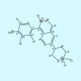 Cc1cc(-c2c3ccc(C4CC[Si](C)(C)CC4)cc3cc[n+]2C)c(C)c(C)c1F